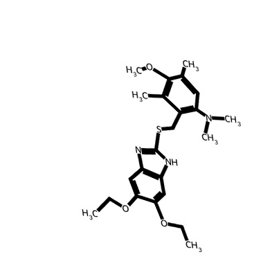 CCOc1cc2nc(SCc3c(N(C)C)cc(C)c(OC)c3C)[nH]c2cc1OCC